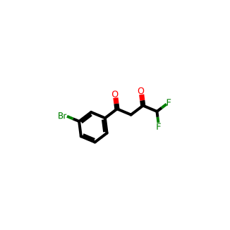 O=C(CC(=O)C(F)F)c1cccc(Br)c1